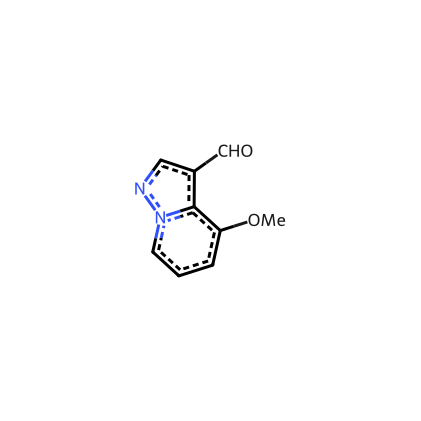 COc1cccn2ncc(C=O)c12